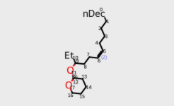 CCCCCCCCCCCCCC/C=C\CCC(CC)O[C@@H]1CCCCO1